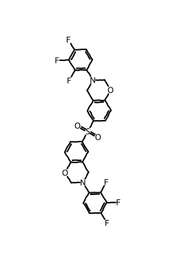 O=S(=O)(c1ccc2c(c1)CN(c1ccc(F)c(F)c1F)CO2)c1ccc2c(c1)CN(c1ccc(F)c(F)c1F)CO2